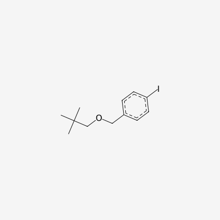 CC(C)(C)COCc1ccc(I)cc1